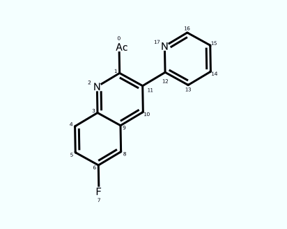 CC(=O)c1nc2ccc(F)cc2cc1-c1ccccn1